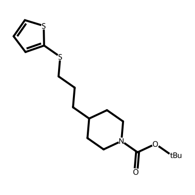 CC(C)(C)OC(=O)N1CCC(CCCSc2cccs2)CC1